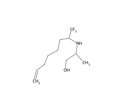 C=CCCCCC(NC(C)CO)C(F)(F)F